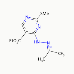 CCOC(=O)c1cnc(SC)nc1N/N=C(\C)C(F)(F)F